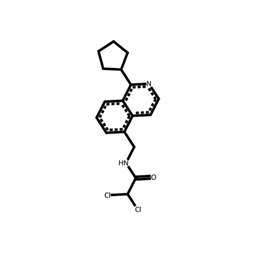 O=C(NCc1cccc2c(C3CCCC3)nccc12)C(Cl)Cl